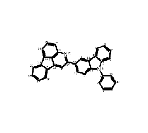 c1ccc(-n2c3ccccc3c3cc(-c4cc5c6c(cccc6n4)-c4ccccc4-5)ccc32)cc1